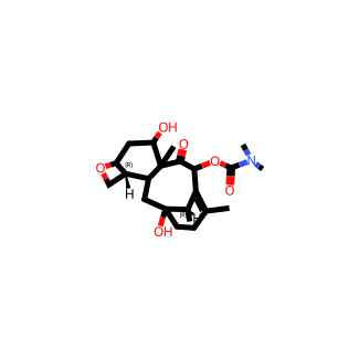 CC1=C2C(OC(=O)N(C)C)C(=O)C3(C)C(O)CC4OC[C@H]4C3CC(O)(CC1)[C@@H]2C